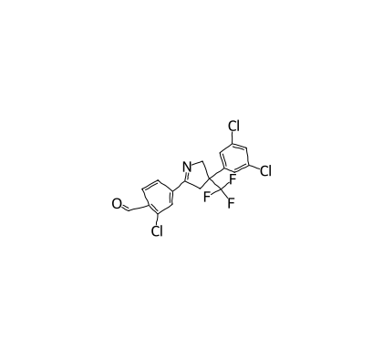 O=Cc1ccc(C2=NCC(c3cc(Cl)cc(Cl)c3)(C(F)(F)F)C2)cc1Cl